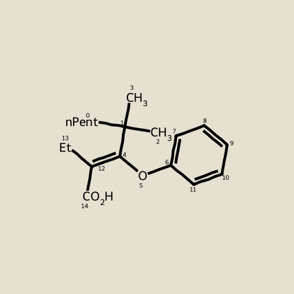 CCCCCC(C)(C)C(Oc1ccccc1)=C(CC)C(=O)O